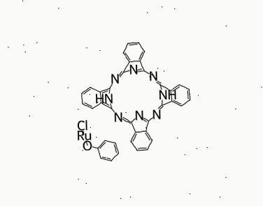 [Cl][Ru][O]c1ccccc1.c1ccc2c(c1)-c1nc-2nc2[nH]c(nc3nc(nc4[nH]c(n1)c1ccccc41)-c1ccccc1-3)c1ccccc21